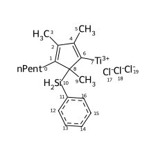 CCCCCC1=C(C)C(C)=[C]([Ti+3])C1(C)[SiH2]c1ccccc1.[Cl-].[Cl-].[Cl-]